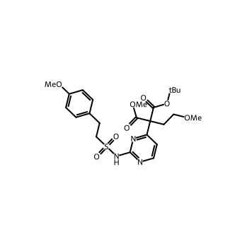 COCCC(C(=O)OC)(C(=O)OC(C)(C)C)c1ccnc(NS(=O)(=O)CCc2ccc(OC)cc2)n1